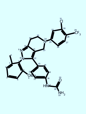 Cc1cccc(OCC(C)C)c1-n1nc2c(c1-c1ccc(NC(N)=O)cc1)CN(c1ccc(C(F)(F)F)c(Cl)c1)CC2